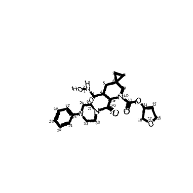 O=C(NO)C1CC2(CC2)CN(C(=O)OC2CCOC2)C1C(=O)N1CCN(c2ccccc2)CC1